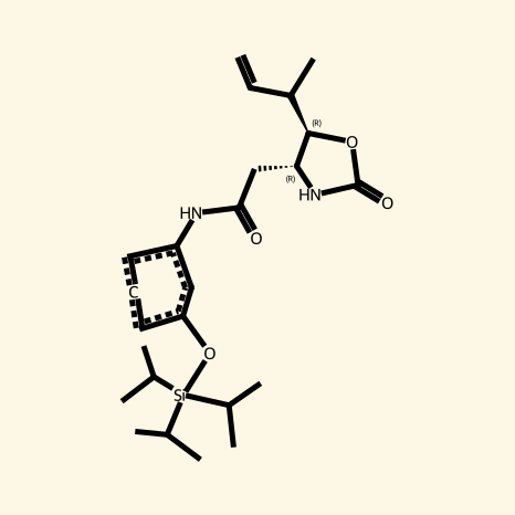 C=CC(C)[C@H]1OC(=O)N[C@@H]1CC(=O)Nc1cccc(O[Si](C(C)C)(C(C)C)C(C)C)c1